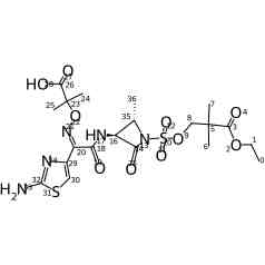 CCOC(=O)C(C)(C)COS(=O)(=O)N1C(=O)[C@@H](NC(=O)/C(=N\OC(C)(C)C(=O)O)c2csc(N)n2)[C@@H]1C